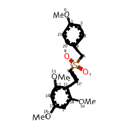 COc1[c]cc(CS(=O)(=O)/C=C/c2c(OC)cc(OC)cc2OC)cc1